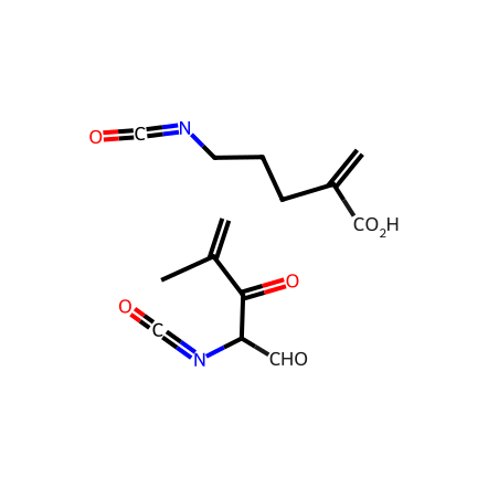 C=C(C)C(=O)C(C=O)N=C=O.C=C(CCCN=C=O)C(=O)O